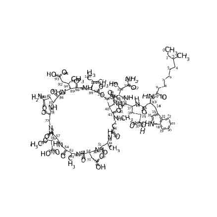 CCC(C)CCCCCCC(=O)NC(Cc1c[nH]c2ccccc12)C(=O)NC(CCC(=O)O)C(=O)NC(C(=O)NC1C(=O)N(C)CC(=O)NC(C)C(=O)NC(CC(=O)O)C(=O)NC(C)C(=O)NC(C(OC)C(=O)O)C(=O)NCC(=O)NC(CC(N)=O)C(=O)NC(C(C)CC(=O)O)C(=O)NC(C(C)C)C(=O)OC1C)C(O)C(N)=O